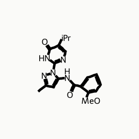 COc1ccccc1C(=O)Nc1cc(C)nn1-c1ncc(C(C)C)c(=O)[nH]1